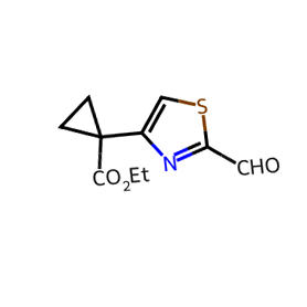 CCOC(=O)C1(c2csc(C=O)n2)CC1